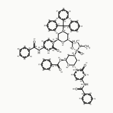 CN(C)[P@](=O)(OC[C@@H]1CN(C(c2ccccc2)(c2ccccc2)c2ccccc2)C[C@H](n2ccc(NC(=O)c3ccccc3)nc2=O)O1)N1C[C@H](OC(=O)c2ccccc2)O[C@@H](n2ccc(NC(=O)c3ccccc3)nc2=O)C1